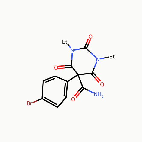 CCN1C(=O)N(CC)C(=O)C(C(N)=O)(c2ccc(Br)cc2)C1=O